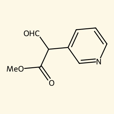 COC(=O)C(C=O)c1cccnc1